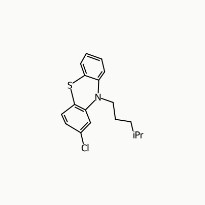 CC(C)CCCN1c2ccccc2Sc2ccc(Cl)cc21